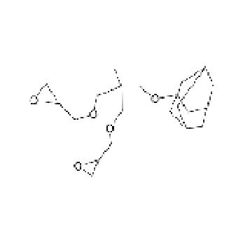 CC(COCC1CO1)(COCC1CO1)COC12CC3CC(CC(C3)C1)C2